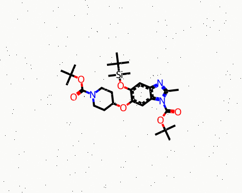 Cc1nc2cc(O[Si](C)(C)C(C)(C)C)c(OC3CCN(C(=O)OC(C)(C)C)CC3)cc2n1C(=O)OC(C)(C)C